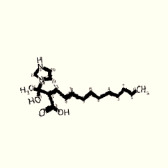 CCCCCCCCCCCC(C(=O)O)C(C)(O)N1CCNC1